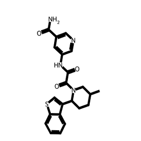 CC1CCC(c2csc3ccccc23)N(C(=O)C(=O)Nc2cncc(C(N)=O)c2)C1